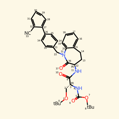 CC(C)(C)OC[C@@H](NC(=O)OC(C)(C)C)C(=O)N[C@@H]1CCc2ccccc2N(Cc2ccc(-c3ccccc3C#N)cc2)C1=O